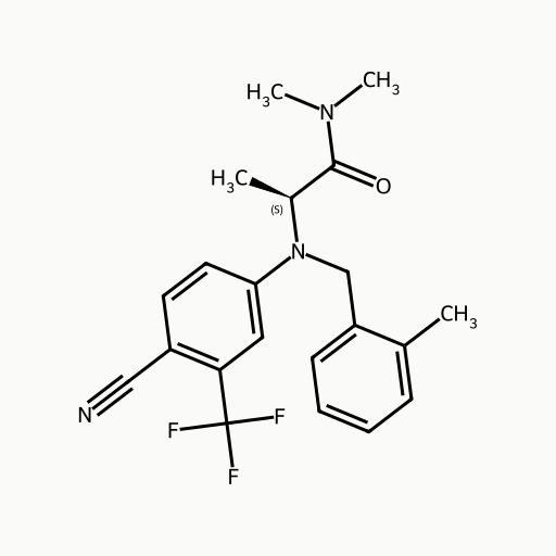 Cc1ccccc1CN(c1ccc(C#N)c(C(F)(F)F)c1)[C@@H](C)C(=O)N(C)C